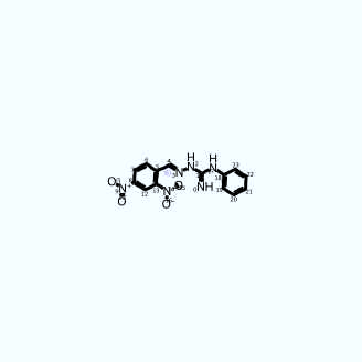 N=C(N/N=C/c1ccc([N+](=O)[O-])cc1[N+](=O)[O-])Nc1ccccc1